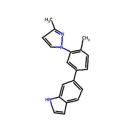 Cc1ccn(-c2cc(-c3ccc4cc[nH]c4c3)ccc2C)n1